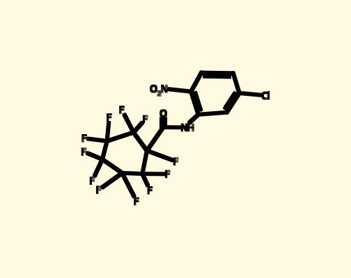 O=C(Nc1cc(Cl)ccc1[N+](=O)[O-])C1(F)C(F)(F)C(F)(F)C(F)(F)C(F)(F)C1(F)F